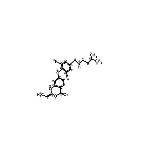 C/C=C1/OC(=O)c2ccc(Oc3c(F)cc(CNCCC(C)C)cc3F)cc2O1